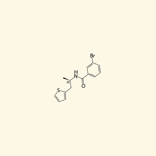 C[C@H](Cc1cccs1)NC(=O)c1cccc(Br)c1